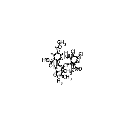 COCc1cnc(C2=NC(C)(C(C)C)C(=O)N2)c(C(=O)O)c1.Nc1c(Cl)c(Cl)nc(C(=O)O)c1Cl